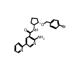 Nc1ncc(-c2ccccn2)cc1C(=O)N[C@H]1CCC[C@@H]1OCc1ccc(Br)cc1